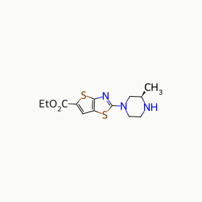 CCOC(=O)c1cc2sc(N3CCN[C@H](C)C3)nc2s1